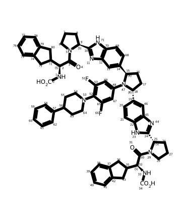 O=C(O)N[C@H](C(=O)N1CCC[C@H]1c1nc2cc([C@H]3CC[C@H](c4ccc5[nH]c([C@@H]6CCCN6C(=O)[C@@H](NC(=O)O)C6Cc7ccccc7C6)nc5c4)N3c3cc(F)c(N4CCC(c5ccccc5)CC4)c(F)c3)ccc2[nH]1)C1Cc2ccccc2C1